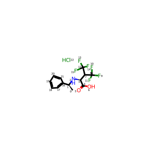 C[C@H](N[C@H](C(=O)O)C(C(F)(F)F)C(F)(F)F)c1ccccc1.Cl